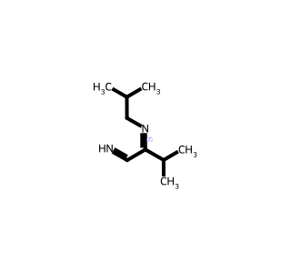 CC(C)C/N=C(\C=N)C(C)C